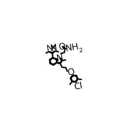 Cc1cc(OCCCc2c(C)n(CCC(N)=O)c3c(-c4c(C)nn(C)c4C)cccc23)cc(C)c1Cl